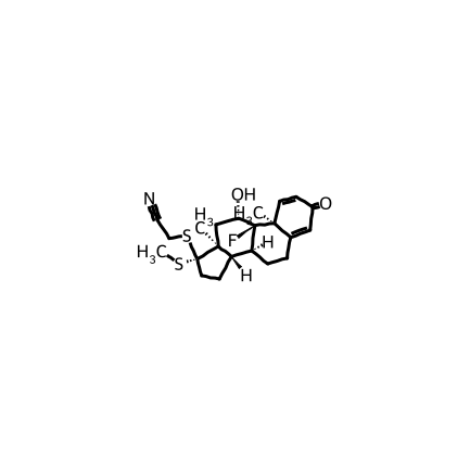 CS[C@@]1(SCC#N)CC[C@H]2[C@@H]3CCC4=CC(=O)C=C[C@]4(C)[C@@]3(F)[C@@H](O)C[C@@]21C